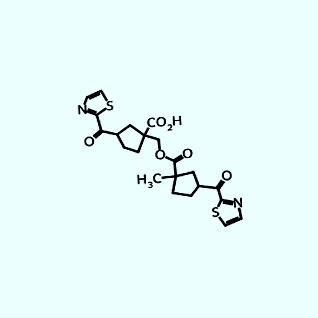 CC1(C(=O)OCC2(C(=O)O)CCC(C(=O)c3nccs3)C2)CCC(C(=O)c2nccs2)C1